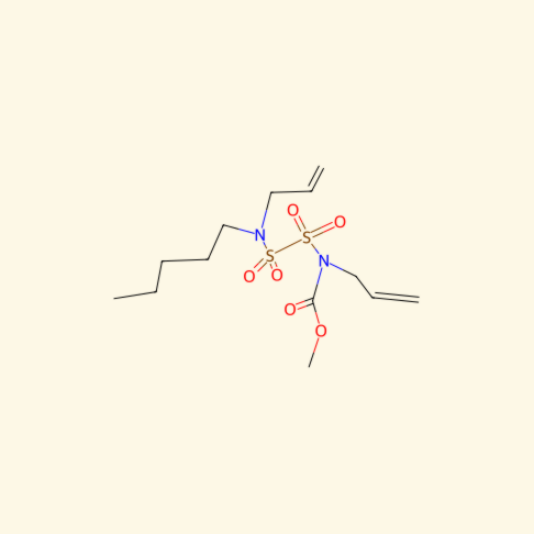 C=CCN(CCCCC)S(=O)(=O)S(=O)(=O)N(CC=C)C(=O)OC